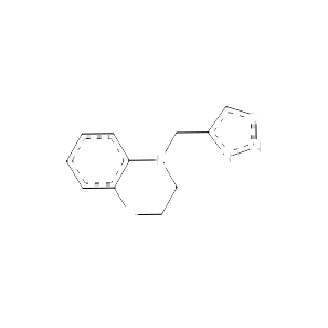 c1ccc2c(c1)OCCN2Cc1csnn1